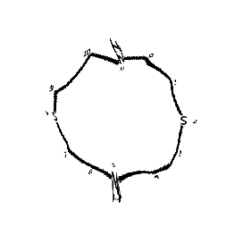 C1CSCCNCCSCCN1